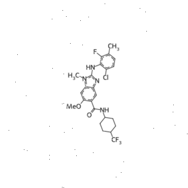 COc1cc2c(cc1C(=O)NC1CCC(C(F)(F)F)CC1)nc(Nc1c(Cl)ccc(C)c1F)n2C